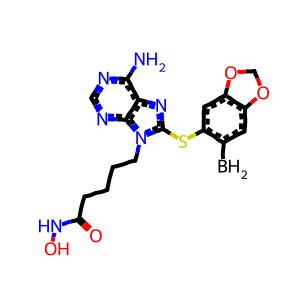 Bc1cc2c(cc1Sc1nc3c(N)ncnc3n1CCCCC(=O)NO)OCO2